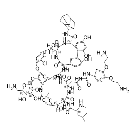 CN[C@H](CC(C)C)C(=O)N[C@H]1C(=O)N[C@@H](CC(=O)NC(=O)Nc2ccc(OCCN)c(OCCN)c2)C(=O)N[C@H]2C(=O)N[C@H]3C(=O)N[C@H](C(=O)N[C@H](C(=O)NC4C5CC6CC(C5)CC4C6)c4cc(O)cc(O)c4-c4cc3ccc4O)[C@H](O)c3ccc(c(Cl)c3)Oc3cc2cc(c3O[C@@H]2O[C@H](CN)[C@@H](O)[C@H](O)[C@H]2O)Oc2ccc(cc2C)[C@H]1O